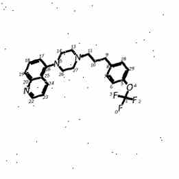 FC(F)(F)Oc1ccc(CCCN2CCN(c3cccc4ncc[c]c34)CC2)cc1